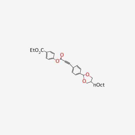 CCCCCCCCC1COC(c2ccc(C#CC(=O)Oc3ccc(C(=O)OCC)cc3)cc2)OC1